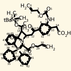 C=CCOC(=O)Nc1cc(C(=O)CC2C(C(C)O[Si](C)(C)C(C)(C)C)C(=O)N2C(C(=O)OCC=C)=P(c2ccccc2)(c2ccccc2)c2ccccc2)ccc1CC(=O)O